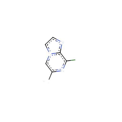 FC(F)(F)c1cn2ccnc2c(Cl)n1